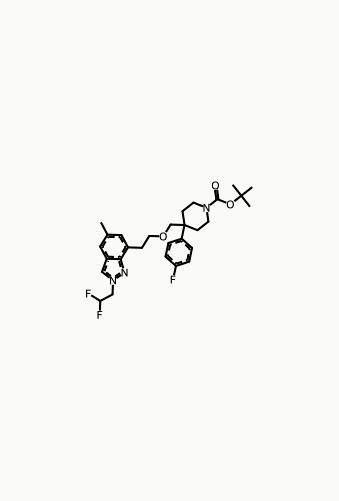 Cc1cc(CCOCC2(c3ccc(F)cc3)CCN(C(=O)OC(C)(C)C)CC2)c2nn(CC(F)F)cc2c1